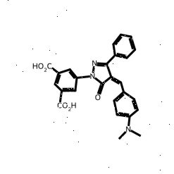 CN(C)c1ccc(C=C2C(=O)N(c3cc(C(=O)O)cc(C(=O)O)c3)N=C2c2ccccc2)cc1